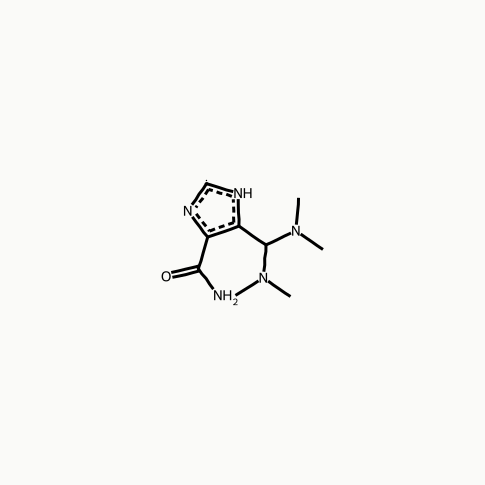 CN(C)C(c1[nH][c]nc1C(N)=O)N(C)C